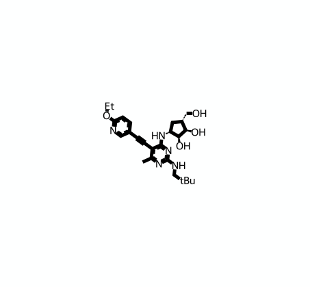 CCOc1ccc(C#Cc2c(C)nc(NCC(C)(C)C)nc2N[C@@H]2C[C@H](CO)[C@@H](O)[C@H]2O)cn1